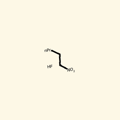 CCCCC[N+](=O)[O-].F